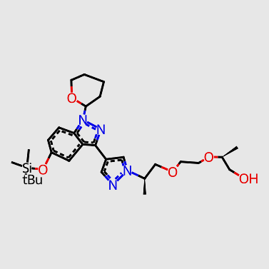 C[C@H](COCCO[C@@H](C)CO)n1cc(-c2nn(C3CCCCO3)c3ccc(O[Si](C)(C)C(C)(C)C)cc23)cn1